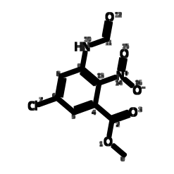 COC(=O)c1cc(Cl)cc(NC=O)c1[N+](=O)[O-]